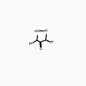 CC(C)C(C)C(=O)C(C)C(C)C.CCCO